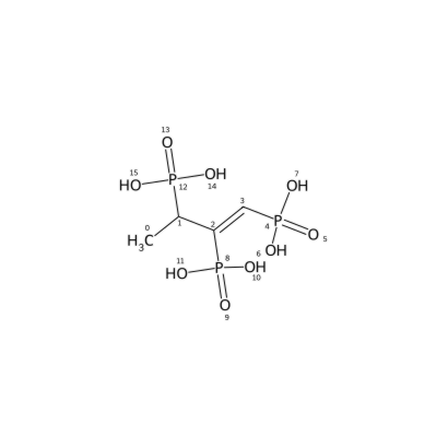 CC(C(=CP(=O)(O)O)P(=O)(O)O)P(=O)(O)O